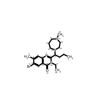 CCCC(c1nc2cc(C)c(Br)cc2c(=O)n1CC)N1CCCN(C)CC1